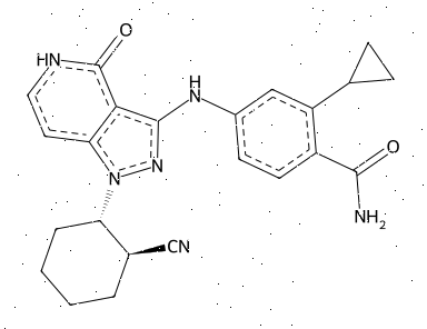 N#C[C@H]1CCCC[C@@H]1n1nc(Nc2ccc(C(N)=O)c(C3CC3)c2)c2c(=O)[nH]ccc21